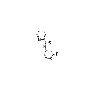 Fc1ccc(NC(=S)c2ccccn2)cc1F